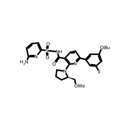 COC[C@H]1CCCN1c1nc(-c2cc(F)cc(OCC(C)C)c2)ccc1C(=O)NS(=O)(=O)c1cccc(N)n1